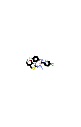 NC1=N[C@@]2(c3cc(NC(=O)c4ccc(Cl)cn4)ccc3F)COCC=C2CS1